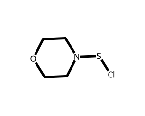 ClSN1CCOCC1